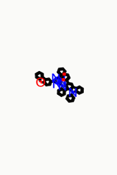 c1ccc(-c2nc(-c3ccc4oc5ccccc5c4c3)nc(-n3c4ccccc4c4c3c(-c3ccccc3)cc3c5ccccc5n(-c5ccccc5)c34)n2)cc1